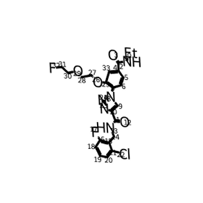 CCNC(=O)c1ccc(-n2cc(C(=O)NCc3c(F)cccc3Cl)nn2)c(OCCOCCF)c1